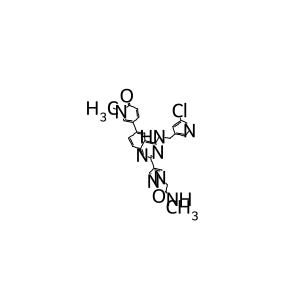 CNC(=O)Cn1cc(-c2nc(NCc3cncc(Cl)c3)c3cc(-c4ccc(=O)n(C)c4)ccc3n2)cn1